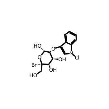 OC[C@@]1(Br)O[C@H](O)[C@H](Oc2cn(Cl)c3ccccc23)[C@@H](O)[C@H]1O